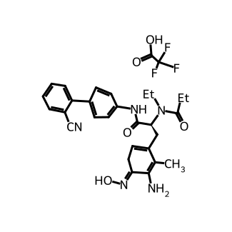 CCC(=O)N(CC)[C@@H](CC1=CCC(=NO)C(N)=C1C)C(=O)Nc1ccc(-c2ccccc2C#N)cc1.O=C(O)C(F)(F)F